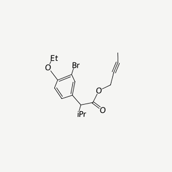 CC#CCOC(=O)C(c1ccc(OCC)c(Br)c1)C(C)C